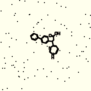 O=C(O)CC(C1=CC=CNC=N1)c1ccc(-c2ccccc2)cc1